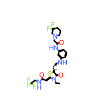 CCn1c(=O)c(=C=CNc2cccc(NC(=O)CN3CCCC(F)(F)C3)c2)s/c1=C\C(=O)NCC(F)(F)F